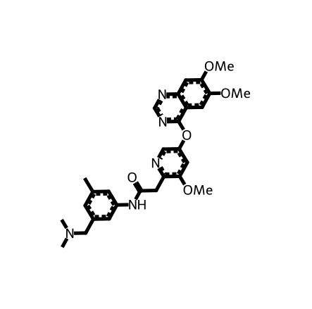 COc1cc2ncnc(Oc3cnc(CC(=O)Nc4cc(C)cc(CN(C)C)c4)c(OC)c3)c2cc1OC